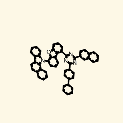 c1ccc(-c2ccc(-c3nc(-c4ccc5ccccc5c4)nc(-c4cccc5oc6c(-n7c8ccccc8c8ccc9ccccc9c87)cccc6c45)n3)cc2)cc1